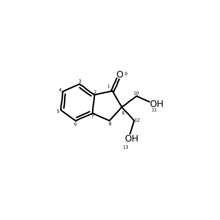 O=C1c2ccccc2CC1(CO)CO